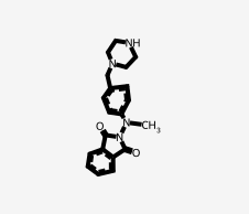 CN(c1ccc(CN2CCNCC2)cc1)N1C(=O)c2ccccc2C1=O